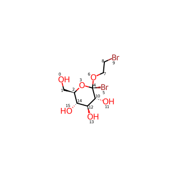 OC[C@H]1O[C@](Br)(OCCBr)[C@H](O)[C@@H](O)[C@@H]1O